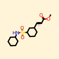 COC(=O)/C=C/C1CCCC(S(=O)(=O)NC2CCCCC2)C1